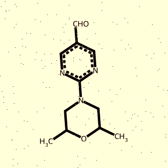 CC1CN(c2ncc(C=O)cn2)CC(C)O1